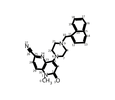 Cn1c(=O)cc(N2CCN(Cc3cccc4ccccc34)CC2)c2nc(C#N)ccc21